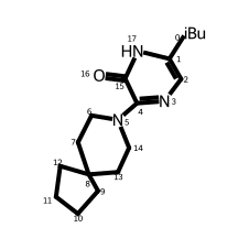 CCC(C)c1cnc(N2CCC3(CCCC3)CC2)c(=O)[nH]1